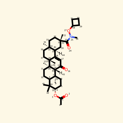 CC(=O)O[C@H]1CC[C@@]2(C)C(CC[C@]3(C)[C@@H]2C(=O)C=C2[C@@H]4C[C@@](C)(C(=O)N(C)OC5CCC5)CC[C@]4(C)CC[C@]23C)C1(C)C